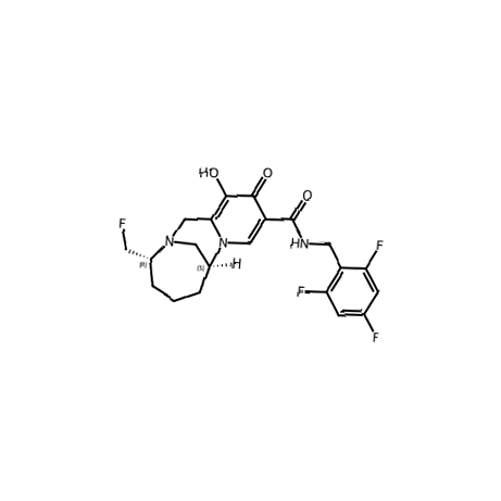 O=C(NCc1c(F)cc(F)cc1F)c1cn2c(c(O)c1=O)CN1C[C@@H]2CCC[C@@H]1CF